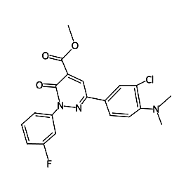 COC(=O)c1cc(-c2ccc(N(C)C)c(Cl)c2)nn(-c2cccc(F)c2)c1=O